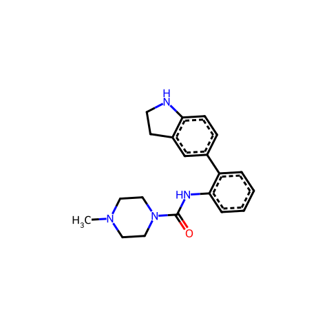 CN1CCN(C(=O)Nc2ccccc2-c2ccc3c(c2)CCN3)CC1